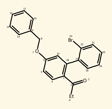 CCC(=O)c1ccc(OCc2ccccc2)cc1-c1ccccc1Br